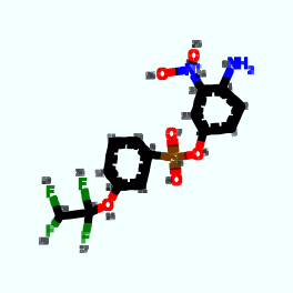 Nc1ccc(OS(=O)(=O)c2cccc(OC(F)(F)C(F)F)c2)cc1[N+](=O)[O-]